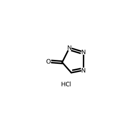 Cl.O=C1C=NN=N1